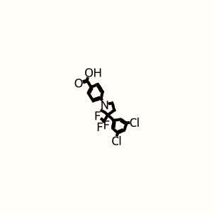 O=C(O)c1ccc(N2CCC(c3cc(Cl)cc(Cl)c3)(C(F)(F)F)C2)cc1